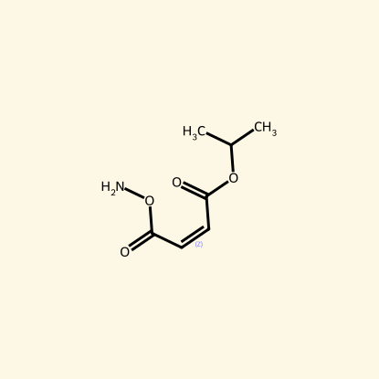 CC(C)OC(=O)/C=C\C(=O)ON